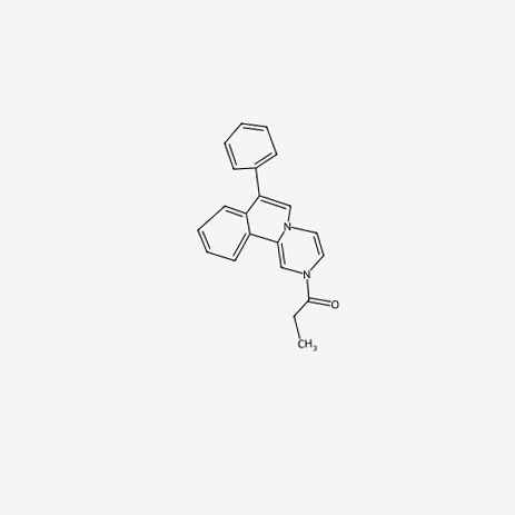 CCC(=O)N1C=CN2C=C(c3ccccc3)c3ccccc3C2=C1